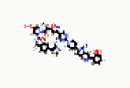 CCn1c(C2CCN(c3ncc(-c4cc([C@H](C(=O)N5C[C@H](O)C[C@H]5C(=O)N[C@@H](C)c5ccc(-c6scnc6C)cc5)C(C)C)on4)cn3)CC2)cc2nnc(-c3ccccc3O)cc21